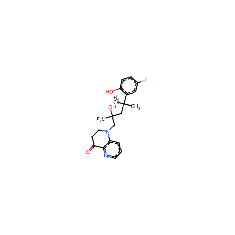 CC(C)(CC(O)(CN1CCC(=O)c2ncccc21)C(F)(F)F)c1cc(F)ccc1O